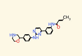 CC=CC(=O)Nc1cccc(-c2ccnc(Nc3ccc(C4CNCCO4)cc3)n2)c1